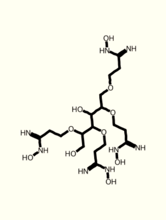 N=C(CCOCC(OCCC(=N)NO)C(O)C(OCCC(=N)NO)C(CO)OCCC(=N)NO)NO